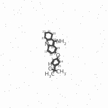 CC(C)(C)c1ccc(Oc2ccc3nc4c(c(N)c3c2)CCCC4)cc1